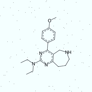 CCN(CC)c1nc2c(c(-c3ccc(OC)cc3)n1)CNCCC2